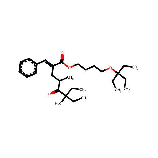 CCC(CC)(CC)OCCCCOC(=O)/C(=C/c1ccccc1)CC(C)C(=O)C(C)(CC)CC